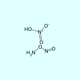 NON=O.O=[N+]([O-])O